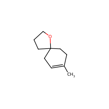 CC1=CCC2(CCCO2)CC1